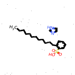 CCCCCCCCCCCCc1ccccc1S(=O)(=O)O.c1c[nH]cn1